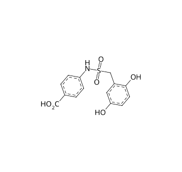 O=C(O)c1ccc(NS(=O)(=O)Cc2cc(O)ccc2O)cc1